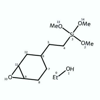 CCO.CO[Si](CCC1CCC2OC2C1)(OC)OC